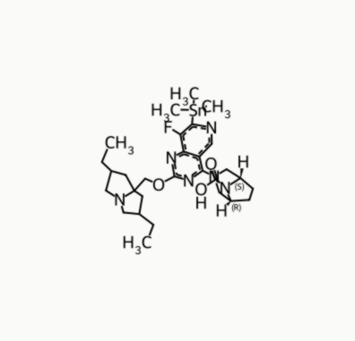 CCC1CN2CC(CC)CC2(COc2nc(N3C[C@H]4CC[C@@H](C3)N4C(=O)O)c3cn[c]([Sn]([CH3])([CH3])[CH3])c(F)c3n2)C1